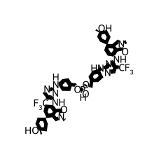 CN1Cc2c(c(Nc3nc(Nc4ccc(CO[PH](=O)OCc5ccc(Nc6ncc(C(F)(F)F)c(Nc7ccc([C@H]8CC[C@@](C)(O)CC8)c8c7C(=O)N(C)C8)n6)cc5)cc4)ncc3C(F)(F)F)ccc2[C@H]2CC[C@@](C)(O)CC2)C1=O